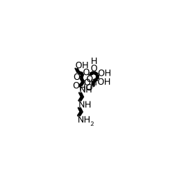 NCCCNCCCNC(=O)C(O)C1OC(CO)C1OC1OC(CO)C(O)C(O)C1O